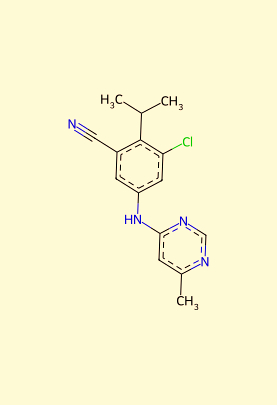 Cc1cc(Nc2cc(Cl)c(C(C)C)c(C#N)c2)ncn1